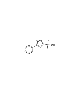 CC(C)(O)c1csc(-c2cc[c]cc2)n1